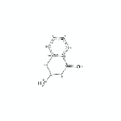 CC1CC(=O)c2ccccc2C1